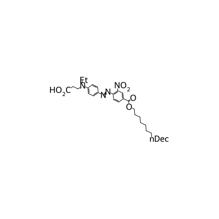 CCCCCCCCCCCCCCCCCOC(=O)c1ccc(/N=N/c2ccc(N(CC)CCC(=O)O)cc2)c([N+](=O)[O-])c1